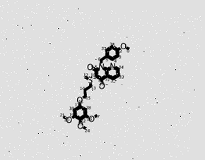 COc1ccc(Cn2c(=O)c([S+](C)CCCOc3cc(OC)c(OC)c(OC)c3)c([O-])c3cccnc32)cc1